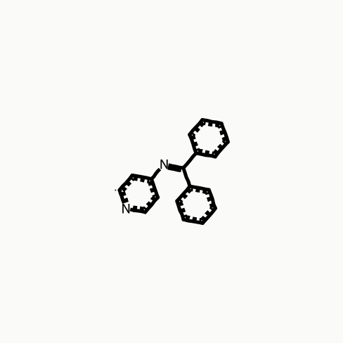 [c]1cc(N=C(c2ccccc2)c2ccccc2)ccn1